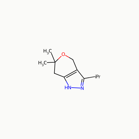 CC(C)c1n[nH]c2c1COC(C)(C)C2